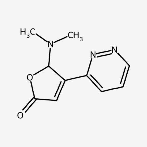 CN(C)C1OC(=O)C=C1c1cccnn1